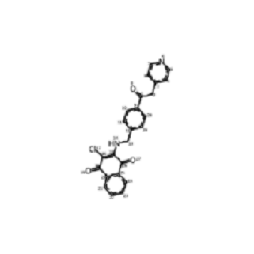 O=C(Cc1ccncc1)c1ccc(CNC2=C(Cl)C(=O)c3ccccc3C2=O)cc1